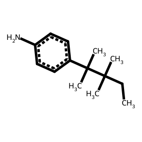 CCC(C)(C)C(C)(C)c1ccc(N)cc1